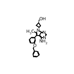 Cc1c(-c2cccc(OCc3ccccc3)c2)c2c(N)ncnc2n1[C@H]1C[C@H](CO)C1